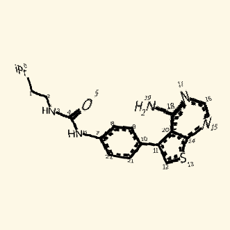 CC(C)CCNC(=O)Nc1ccc(-c2csc3ncnc(N)c23)cc1